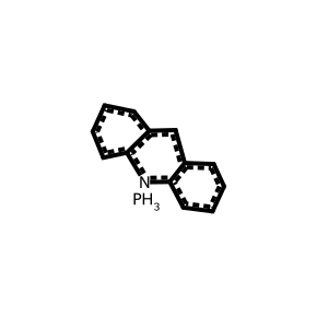 P.c1ccc2nc3ccccc3cc2c1